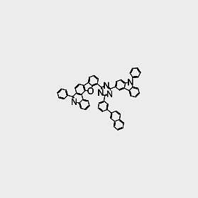 c1ccc(-c2nc3ccccc3c3c2ccc2c4cccc(-c5nc(-c6cccc(-c7ccc8ccccc8c7)c6)nc(-c6ccc7c(c6)c6ccccc6n7-c6ccccc6)n5)c4oc23)cc1